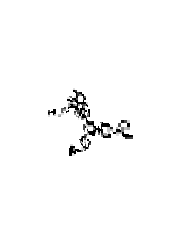 C=CC(=O)N1CCN(c2cc(-c3noc(C4(C)CCC(C)c5sc(N)c(C#N)c54)n3)nc(N3CCN(CC4CC4)CC3)c2)CC1